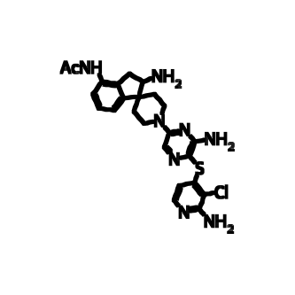 CC(=O)Nc1cccc2c1CC(N)C21CCN(c2cnc(Sc3ccnc(N)c3Cl)c(N)n2)CC1